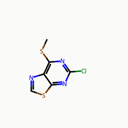 CSc1nc(Cl)nc2scnc12